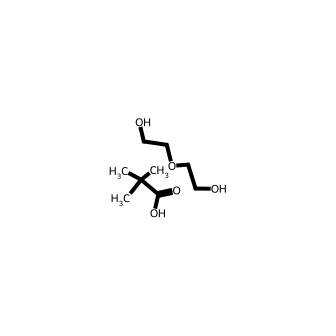 CC(C)(C)C(=O)O.OCCOCCO